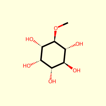 CO[C@H]1[C@H](O)[C@@H](O)[C@H](O)[C@H](O)[C@@H]1O